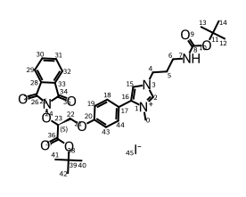 C[n+]1cn(CCCNC(=O)OC(C)(C)C)cc1-c1ccc(OC[C@H](ON2C(=O)c3ccccc3C2=O)C(=O)OC(C)(C)C)cc1.[I-]